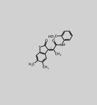 C/C(C(=O)Nc1ccccc1C(=O)O)=C1/C(=O)Sc2cc(C)c(C)cc21